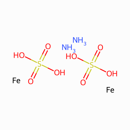 N.N.O=S(=O)(O)O.O=S(=O)(O)O.[Fe].[Fe]